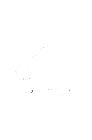 C[C@H](NC(=O)C[C@](C)(O)C(F)(F)F)c1cccc(OCC(F)(F)F)c1